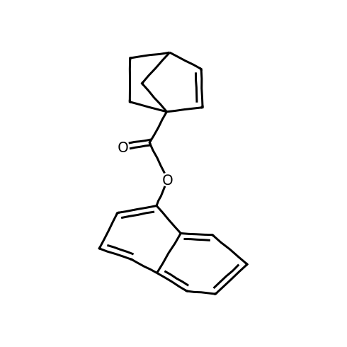 O=C(Oc1cccc2ccccc12)C12C=CC(CC1)C2